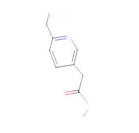 COC(=O)Cc1ccc(CO)nc1